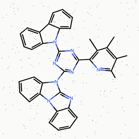 Cc1nc(-c2nc(-n3c4ccccc4c4ccccc43)nc(-n3c4ccccc4n4c5ccccc5nc34)n2)c(C)c(C)c1C